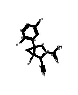 N#CC1[C@@H]2C[C@]2(c2cc(F)ccc2F)CN1C(=O)O